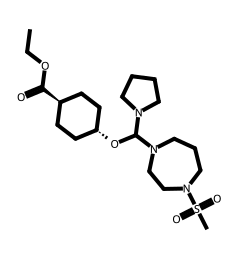 CCOC(=O)[C@H]1CC[C@H](OC(N2CCCC2)N2CCCN(S(C)(=O)=O)CC2)CC1